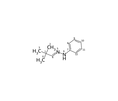 CC(C)(C)/C=N/Nc1ccccc1